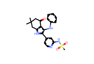 CC1(C)CC(=O)c2c([nH]c(-c3ccnc(NS(C)(=O)=O)c3)c2Nc2ccccc2)C1